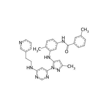 Cc1cccc(C(=O)Nc2ccc(C)c(Nc3cc(C)nn3-c3cc(NCCc4cccnc4)ncn3)c2)c1